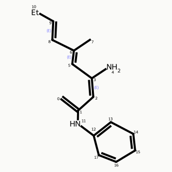 C=C(\C=C(N)/C=C(C)/C=C/CC)Nc1ccccc1